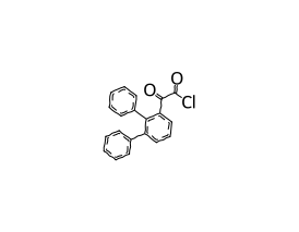 O=C(Cl)C(=O)c1cccc(-c2ccccc2)c1-c1ccccc1